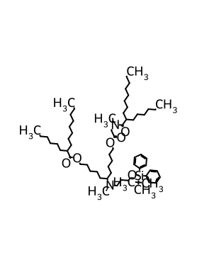 CCCCCCCCC(CCCCCC)C(=O)OCCCCCC(CCCCCOC(=O)CN(C)C(=O)C(CCCCCC)CCCCCCCC)N(C)CCCO[Si](c1ccccc1)(c1ccccc1)C(C)(C)C